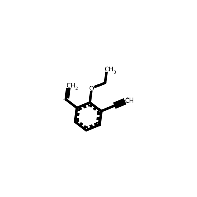 C#Cc1cccc([C]=C)c1OCC